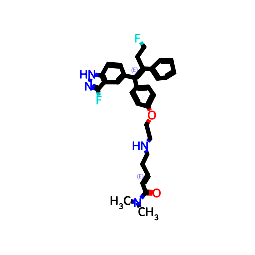 CN(C)C(=O)/C=C/CCNCCOc1ccc(/C(=C(/CCF)c2ccccc2)c2ccc3[nH]nc(F)c3c2)cc1